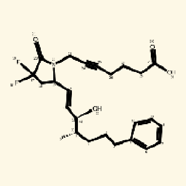 C[C@@H](CCCc1ccccc1)[C@H](O)C=CC1CC(F)(F)C(=O)N1CC#CCCCC(=O)O